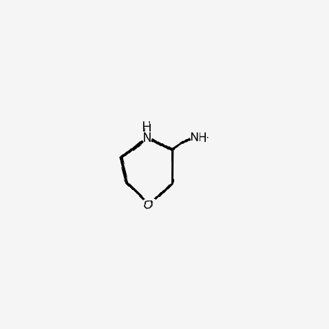 [NH]C1COCCN1